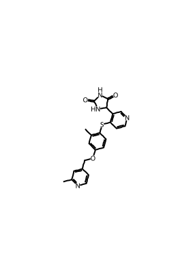 Cc1cc(COc2ccc(Sc3ccncc3C3NC(=O)NC3=O)c(C)c2)ccn1